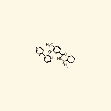 Cc1ccc(C(=O)N[C@@H](C)C2CCCCC2)cc1Oc1ncccc1-c1ccncn1